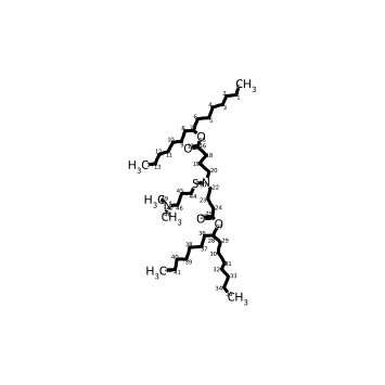 CCCCCCCC(CCCCCCC)OC(=O)CCCN(CCCC(=O)OC(CCCCCCC)CCCCCCC)SCCCN(C)C